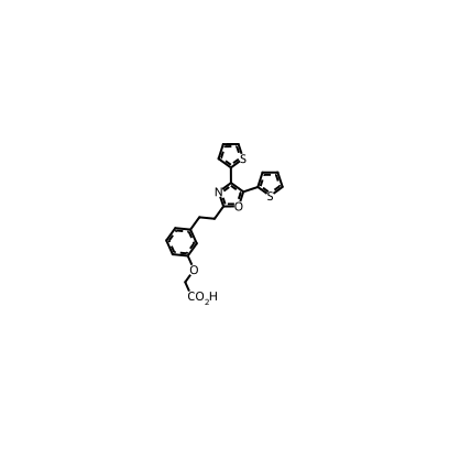 O=C(O)COc1cccc(CCc2nc(-c3cccs3)c(-c3cccs3)o2)c1